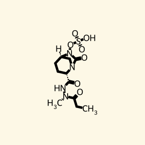 CCC(=O)N(C)NC(=O)[C@@H]1CC[C@@H]2CN1C(=O)N2OS(=O)(=O)O